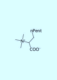 CCCCCCC(C(=O)[O-])[N+](C)(C)C